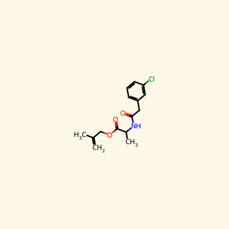 C=C(C)COC(=O)C(C)NC(=O)Cc1cccc(Cl)c1